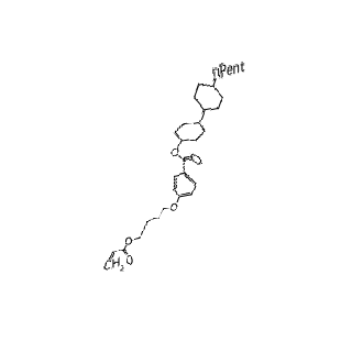 C=CC(=O)OCCCCOc1ccc(C(=O)OC2CCC(C3CCC(CCCCC)CC3)CC2)cc1